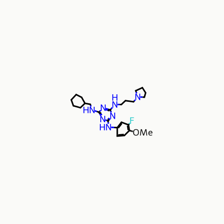 COc1ccc(Nc2nc(NCCCN3CCCC3)nc(NCC3CCCCC3)n2)cc1F